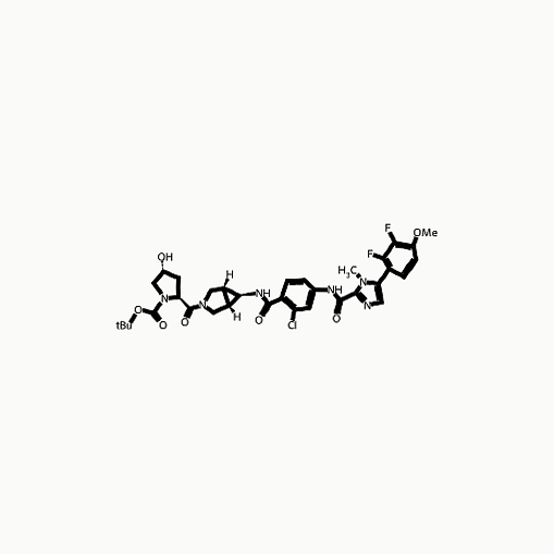 COc1ccc(-c2cnc(C(=O)Nc3ccc(C(=O)N[C@H]4[C@@H]5CN(C(=O)[C@@H]6C[C@@H](O)CN6C(=O)OC(C)(C)C)C[C@@H]54)c(Cl)c3)n2C)c(F)c1F